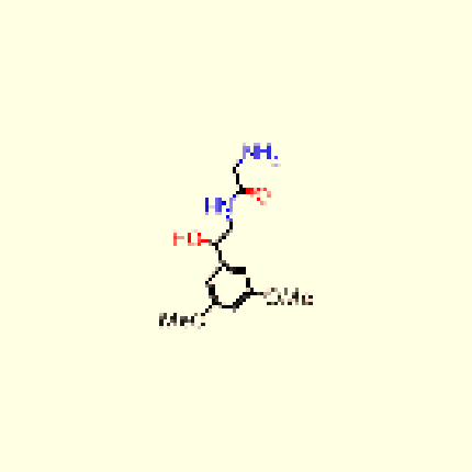 COc1cc(OC)cc(C(O)CNC(=O)CN)c1